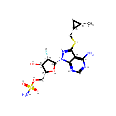 C[C@H]1C[C@H]1CSc1nn([C@@H]2O[C@H](COS(N)(=O)=O)[C@@H](O)[C@@H]2F)c2ncnc(N)c12